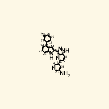 Nc1cncc(-c2ccc3[nH]nc(-c4cc5c(-c6cccc(F)c6)cccc5[nH]4)c3n2)c1